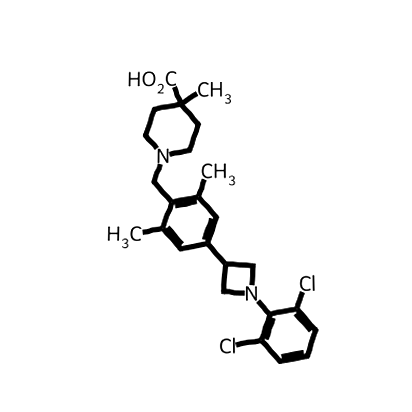 Cc1cc(C2CN(c3c(Cl)cccc3Cl)C2)cc(C)c1CN1CCC(C)(C(=O)O)CC1